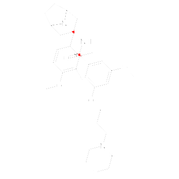 COc1cc(OCCCN2CCOCC2)cc(C(=O)NC2CC3CCC(C2)N3Cc2ccc(OC)c(C)c2C)c1